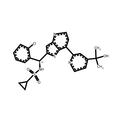 CC(C)(O)c1ccnc(-c2ccnc3cc([C@@H](NS(=O)(=O)C4CC4)c4ccccc4Cl)sc23)c1